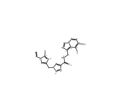 C=Cn1cc(Cn2cc(C(=O)NCc3ncn4ccc(Cl)c(F)c34)nn2)nc1C